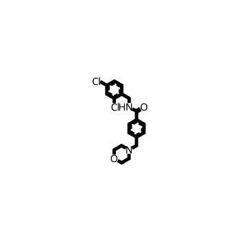 O=C(NCc1ccc(Cl)cc1Cl)c1ccc(CN2CCOCC2)cc1